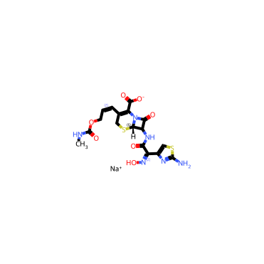 CNC(=O)OC/C=C\C1=C(C(=O)[O-])N2C(=O)C(NC(=O)/C(=N\O)c3csc(N)n3)[C@@H]2SC1.[Na+]